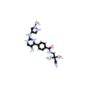 Cn1cc(Nc2ncc(Cl)c(-c3ccc(C(=O)NCC(C)(C)C#N)cc3)n2)cn1